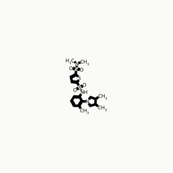 Cc1cccc(NS(=O)(=O)c2ccc(S(=O)(=O)N(C)C)s2)c1N1CC(C)C(C)C1